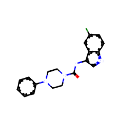 O=C(Nc1c[nH]c2ccc(F)cc12)N1CCN(c2ccccc2)CC1